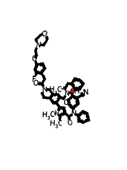 Cc1ccc(N(C(=O)c2cc(-c3cc4c(cc3C(=O)N3Cc5ccccc5C[C@H]3C)CN(C(=O)Cc3ccc(OCCN5CCOCC5)cc3F)CC4)n(C)c2C)c2ccccc2)cc1C#N